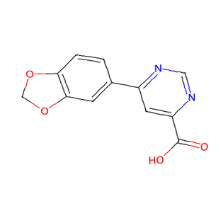 O=C(O)c1cc(-c2ccc3c(c2)OCO3)ncn1